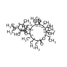 CC[C@H]1OC(=O)[C@H](C)[C@@H](C)[C@H](C)[C@@H](OC2O[C@H](C)C[C@H](N(C)C)[C@H]2O)C(C)(C)C[C@@H](C)/C(=N\C)[C@H](C)[C@@H](O)[C@]1(C)O